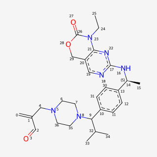 C=C(C=O)CN1CCN(C(c2ccc([C@H](C)Nc3ncc4c(n3)N(CC)C(=O)OC4)cc2)C(C)C)CC1